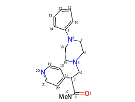 CNC(=O)C(CN1CCN(c2ccccc2)CC1)c1ccncc1